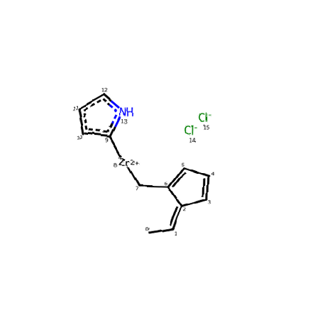 CC=C1C=CC=C1[CH2][Zr+2][c]1ccc[nH]1.[Cl-].[Cl-]